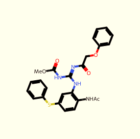 COC(=O)N/C(=N/C(=O)COc1ccccc1)Nc1cc(Sc2ccccc2)ccc1NC(C)=O